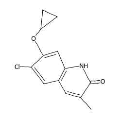 Cc1cc2cc(Cl)c(OC3CC3)cc2[nH]c1=O